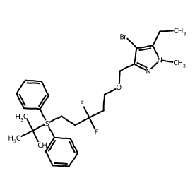 CCc1c(Br)c(COCCC(F)(F)CCS(c2ccccc2)(c2ccccc2)C(C)(C)C)nn1C